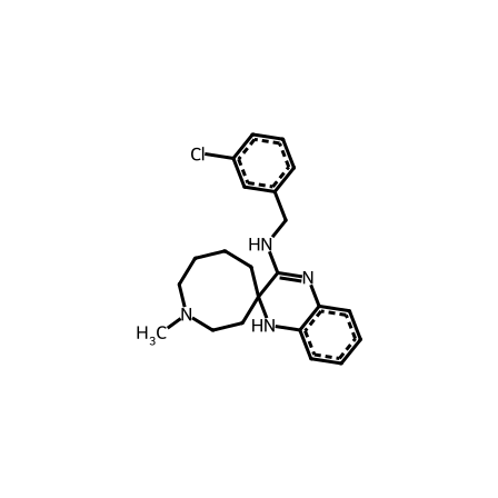 CN1CCCCC2(CC1)Nc1ccccc1N=C2NCc1cccc(Cl)c1